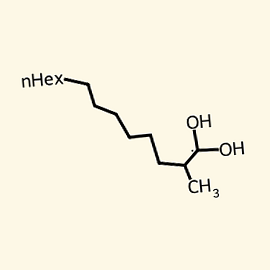 CCCCCCCCCCCCC(C)[C](O)O